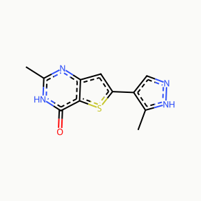 Cc1nc2cc(-c3cn[nH]c3C)sc2c(=O)[nH]1